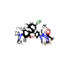 CCN(CC)c1ccc2c(-c3ccccc3C(=O)O)c3ccc(=[N+](CC)C(C)N4C(=O)CSC4=S)cc-3oc2c1.[Cl-]